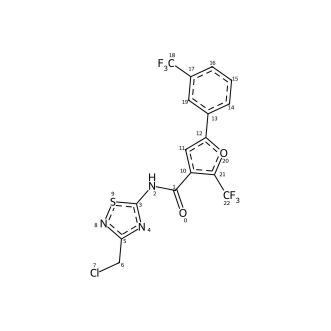 O=C(Nc1nc(CCl)ns1)c1cc(-c2cccc(C(F)(F)F)c2)oc1C(F)(F)F